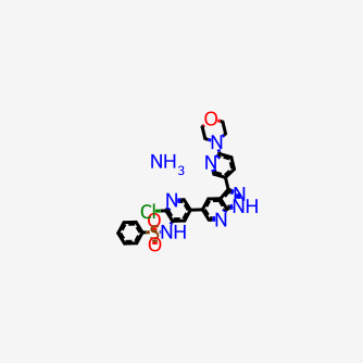 N.O=S(=O)(Nc1cc(-c2cnc3[nH]nc(-c4ccc(N5CCOCC5)nc4)c3c2)cnc1Cl)c1ccccc1